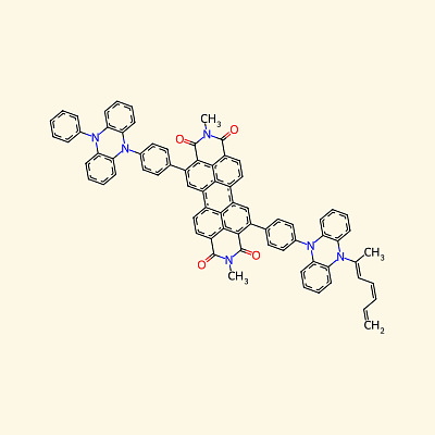 C=C/C=C\C=C(/C)N1c2ccccc2N(c2ccc(-c3cc4c5ccc6c7c(c(-c8ccc(N9c%10ccccc%10N(c%10ccccc%10)c%10ccccc%109)cc8)cc(c8ccc9c(c3C(=O)N(C)C9=O)c84)c75)C(=O)N(C)C6=O)cc2)c2ccccc21